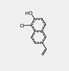 C=Cc1ccc2c(Cl)c(O)ccc2c1